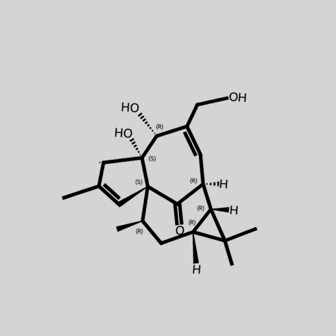 CC1=C[C@]23C(=O)[C@@H](C=C(CO)[C@@H](O)[C@]2(O)[CH]1)[C@H]1[C@@H](C[C@H]3C)C1(C)C